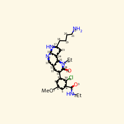 CCNC(=O)c1cc(OC)cc(-c2cc3cnc4[nH]c(CCCCN)cc4c3n(CC)c2=O)c1Cl